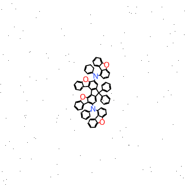 C1=CCCC(N(c2cc3c(c4c2oc2ccccc24)-c2c(cc(N(c4ccccc4)c4cccc5oc6ccccc6c45)c4c2oc2ccccc24)C3(c2ccccc2)c2ccccc2)c2cccc3oc4ccccc4c23)=C1